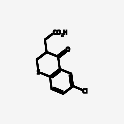 O=C(O)CC1CSc2ccc(Cl)cc2C1=O